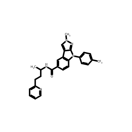 CC(CCc1ccccn1)NC(=O)c1ccc2c(c1)c1cn(C)nc1n2-c1ccc(C(F)(F)F)cc1